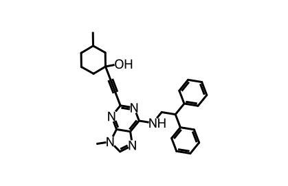 CC1CCCC(O)(C#Cc2nc(NCC(c3ccccc3)c3ccccc3)c3ncn(C)c3n2)C1